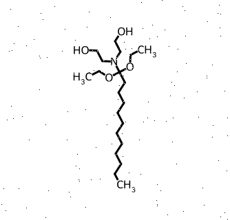 CCCCCCCCCCCC(OCC)(OCC)N(CCO)CCO